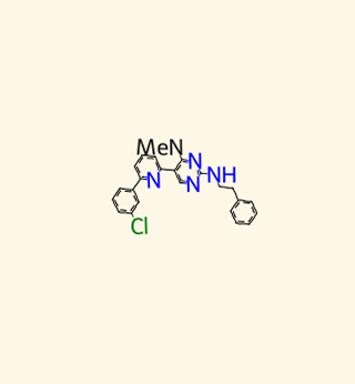 CNc1nc(NCCc2ccccc2)ncc1-c1cccc(-c2cccc(Cl)c2)n1